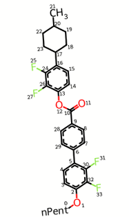 CCCCCOc1ccc(-c2ccc(C(=O)Oc3ccc(C4CCC(C)CC4)c(F)c3F)cc2)c(F)c1F